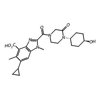 Cc1c(C2CC2)cc2c(nc(C(=O)N3CCN([C@H]4CC[C@H](O)CC4)C(=O)C3)n2C)c1C(=O)O